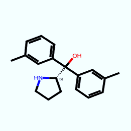 Cc1cccc(C(O)(c2cccc(C)c2)[C@@H]2CCCN2)c1